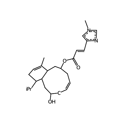 CC1=CCC(C(C)C)C2CC(O)C/C=C\CC(OC(=O)/C=C/c3cn(C)cn3)CC12